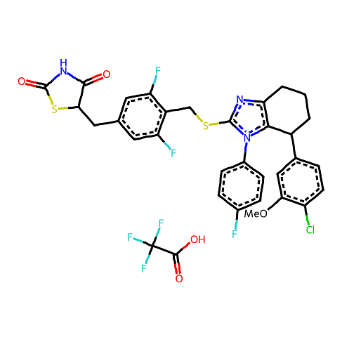 COc1cc(C2CCCc3nc(SCc4c(F)cc(CC5SC(=O)NC5=O)cc4F)n(-c4ccc(F)cc4)c32)ccc1Cl.O=C(O)C(F)(F)F